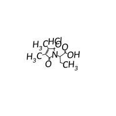 CCC(C(=O)O)N1C(=O)C(C)=C(C)C1=O.Cl